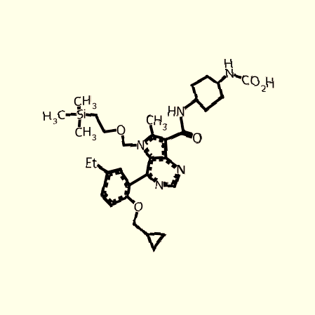 CCc1ccc(OCC2CC2)c(-c2ncnc3c(C(=O)NC4CCC(NC(=O)O)CC4)c(C)n(COCC[Si](C)(C)C)c23)c1